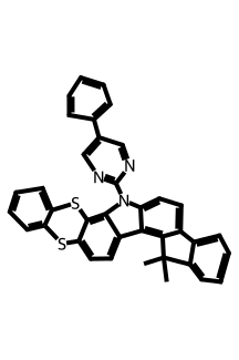 CC1(C)c2ccccc2-c2ccc3c(c21)c1ccc2c(c1n3-c1ncc(-c3ccccc3)cn1)Sc1ccccc1S2